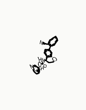 N#Cc1ccccc1-c1ccc2c(c1)OCCC2NC(=O)O[C@@H]1CN2CCC1CC2